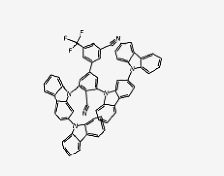 N#Cc1cc(-c2cc(-n3c4ccccc4c4ccc(-n5c6ccccc6c6ccccc65)cc43)c(C#N)c(-n3c4ccccc4c4ccc(-n5c6ccccc6c6ccccc65)cc43)c2)cc(C(F)(F)F)c1